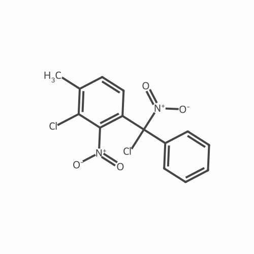 Cc1ccc(C(Cl)(c2ccccc2)[N+](=O)[O-])c([N+](=O)[O-])c1Cl